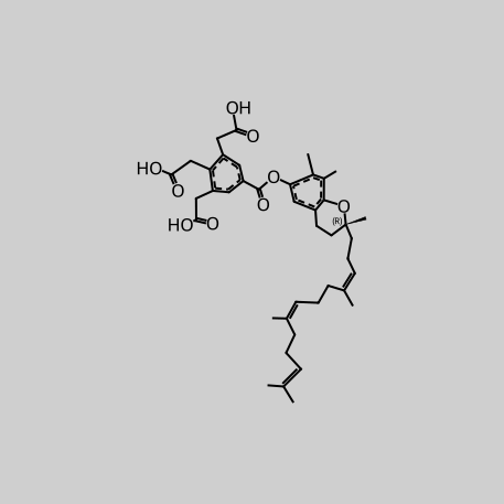 CC(C)=CCCC(C)=CCCC(C)=CCC[C@]1(C)CCc2cc(OC(=O)c3cc(CC(=O)O)c(CC(=O)O)c(CC(=O)O)c3)c(C)c(C)c2O1